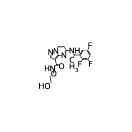 C[C@@H](Nc1ccn2ncc(C(=O)NOCCO)c2n1)c1cc(F)cc(F)c1F